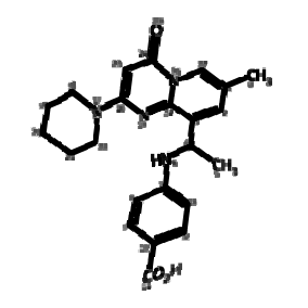 Cc1cc(C(C)Nc2ccc(C(=O)O)cc2)c2nc(N3CCCCC3)cc(=O)n2c1